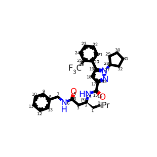 CC(C)C[C@@H](CC(=O)NCc1ccccc1)NC(=O)c1cc(-c2ccccc2C(F)(F)F)n(C2CCCC2)n1